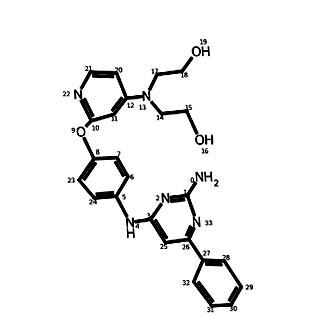 Nc1nc(Nc2ccc(Oc3cc(N(CCO)CCO)ccn3)cc2)cc(-c2ccccc2)n1